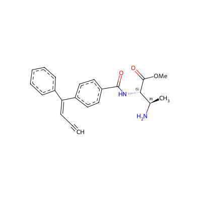 C#CC=C(c1ccccc1)c1ccc(C(=O)N[C@H](C(=O)OC)[C@@H](C)N)cc1